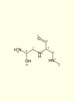 CNCC(C=O)NCC(N)O